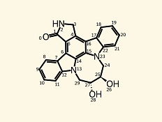 O=C1NCc2c1c1c3ccccc3n3c1c1c2c2ccccc2n1C[C@@H](O)[C@H](O)C3